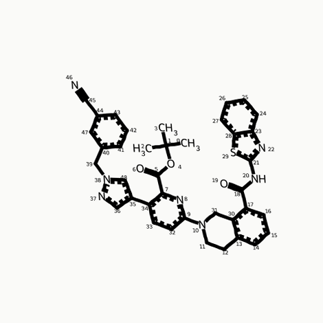 CC(C)(C)OC(=O)c1nc(N2CCc3cccc(C(=O)Nc4nc5ccccc5s4)c3C2)ccc1-c1cnn(Cc2cccc(C#N)c2)c1